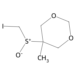 CC1([S+]([O-])CI)COCOC1